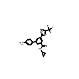 Cc1ccc(-c2cc(C(=O)NC3CC3)cc(-c3n[nH]c(C(F)(F)F)n3)c2)cc1